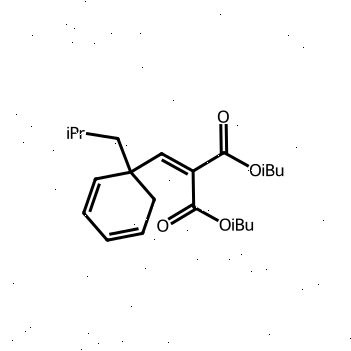 CC(C)COC(=O)C(=CC1(CC(C)C)C=CC=CC1)C(=O)OCC(C)C